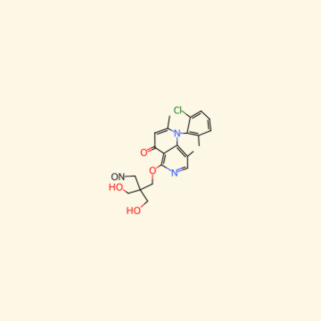 Cc1cccc(Cl)c1-n1c(C)cc(=O)c2c(OCC(CO)(CO)CN=O)ncc(C)c21